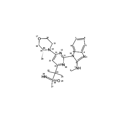 CNc1nc2ccccc2n1-c1nc(N2CCOC[C@H]2C)cc(C(C)(C)S(C)(=N)=O)n1